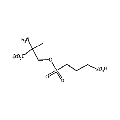 CCOC(=O)C(C)(N)COS(=O)(=O)CCCS(=O)(=O)O